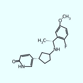 COc1ccc(F)c([C@@H](C)NC2CC[C@H](c3ccc(=O)[nH]c3)C2)c1